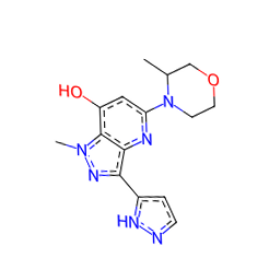 CC1COCCN1c1cc(O)c2c(n1)c(-c1ccn[nH]1)nn2C